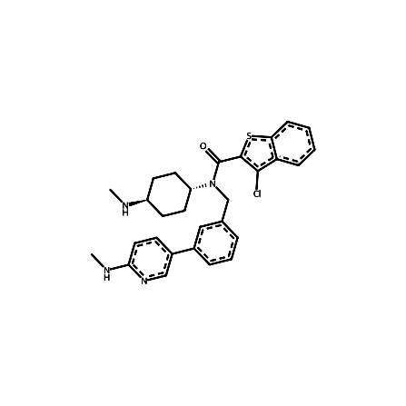 CNc1ccc(-c2cccc(CN(C(=O)c3sc4ccccc4c3Cl)[C@H]3CC[C@H](NC)CC3)c2)cn1